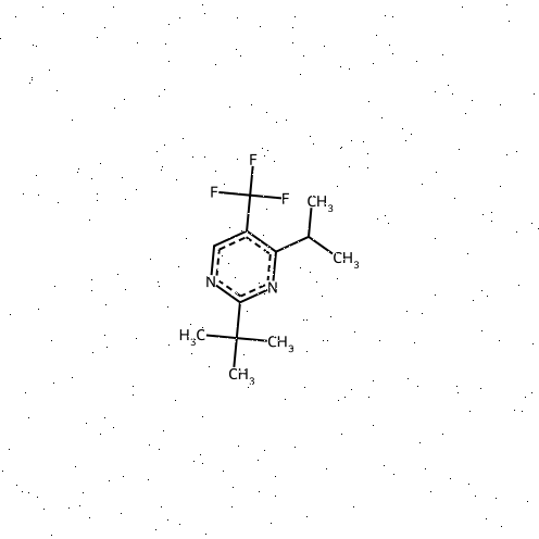 CC(C)c1nc(C(C)(C)C)ncc1C(F)(F)F